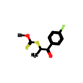 CCOC(=S)SC(C)C(=O)c1ccc(F)cc1